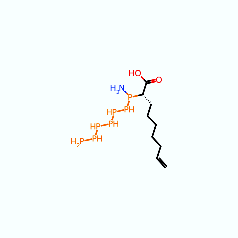 C=CCCCCC[C@@H](C(=O)O)P(N)PPPPPP